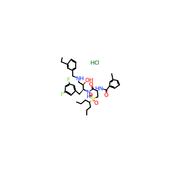 CCCC(CCC)S(=O)(=O)CC(NC(=O)c1cccc(C)c1)C(=O)N[C@@H](Cc1cc(F)cc(F)c1)[C@H](O)CNCc1cccc(CC)c1.Cl